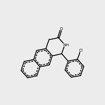 O=C1Cc2cc3ccccc3cc2C(c2ccccc2Cl)N1